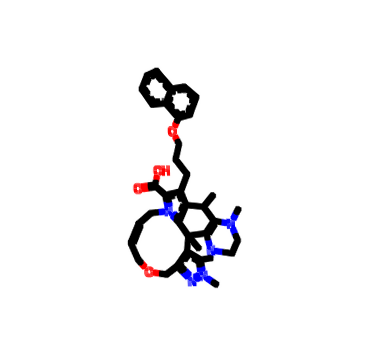 CC1C2=C3N(CCN2C)Cc2c4c(nn2C)COC/C=C\Cn2c(C(=O)O)c(CCCOc5cccc6ccccc56)c1c2C34C